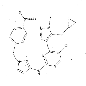 Cn1ncc(-c2nc(Nc3cnn(Cc4ccc([N+](=O)[O-])cc4)c3)ncc2Cl)c1CC1CC1